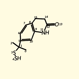 CC(C)(SS)c1ccc2c(c1)NC(=O)CC2